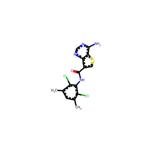 Cc1cc(C)c(Cl)c(NC(=O)c2csc3c(N)ncnc23)c1Cl